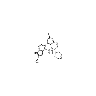 OC1(C2COc3cc(F)ccc3C2Nc2ncnc3[nH]c(C4CC4)cc23)CCOCC1